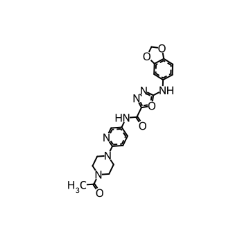 CC(=O)N1CCN(c2ccc(NC(=O)c3nnc(Nc4ccc5c(c4)OCO5)o3)cn2)CC1